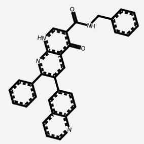 O=C(NCc1ccccc1)c1c[nH]c2nc(-c3ccccc3)c(-c3ccc4ncccc4c3)cc2c1=O